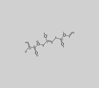 C=COC(=O)CC=C(Cl)COC(=O)C(=C)C